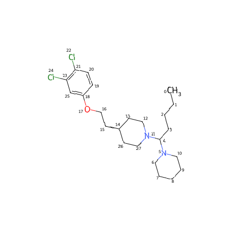 CCCCC(N1CCCCC1)N1CCC(CCOc2ccc(Cl)c(Cl)c2)CC1